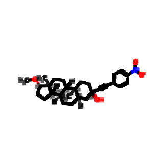 CO[C@H]1CC[C@H]2[C@@H]3CC[C@@H]4C[C@@](O)(C#Cc5ccc([N+](=O)[O-])cc5)CC[C@]4(C)[C@H]3CC[C@]12C